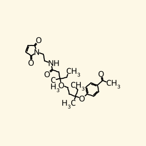 CCC(C)(CC(=O)NCCN1C(=O)C=CC1=O)OCCC(C)(CC)Oc1ccc(C(C)=O)cc1